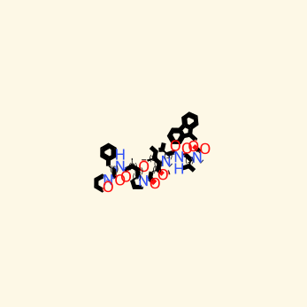 CC[C@H](C)[C@@H]([C@@H](CC(=O)N1CCC[C@H]1[C@H](OC)[C@@H](C)C(=O)N[C@@H](Cc1ccccc1)C(=O)N1CCCCO1)OC)N(C)[C@H](C(=O)NC(=O)[C@H](C(C)C)N(C)C(=O)OCC1c2ccccc2-c2ccccc21)C(C)C